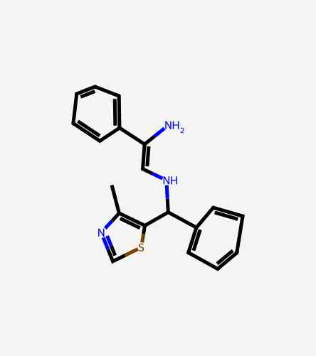 Cc1ncsc1C(N/C=C(\N)c1ccccc1)c1ccccc1